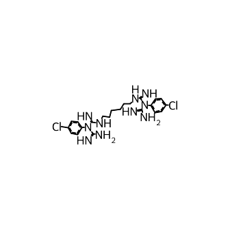 N=C(N)N(C(=N)NCCCCCCNC(=N)N(C(=N)N)c1ccc(Cl)cc1)c1ccc(Cl)cc1